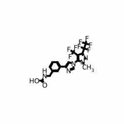 Cn1nc(C(F)(F)C(F)(F)F)c(C(F)(F)F)c1-n1cnc(-c2cccc(CNC(=O)O)c2)c1